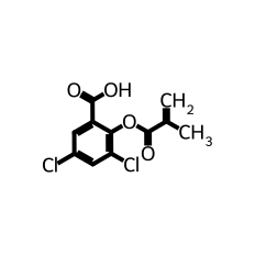 C=C(C)C(=O)Oc1c(Cl)cc(Cl)cc1C(=O)O